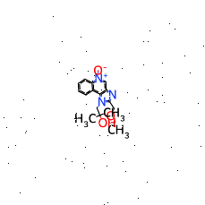 CCOCc1nc2c[n+]([O-])c3ccccc3c2n1CC(C)(C)O